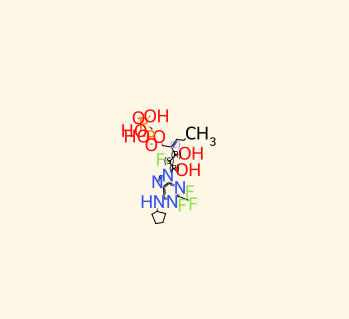 CC/C=C(/COP(=O)(O)CP(=O)(O)O)[C@@H](O)[C@H](F)[C@@H](O)n1cnc2c(NC3CCCC3)nc(C(F)(F)F)nc21